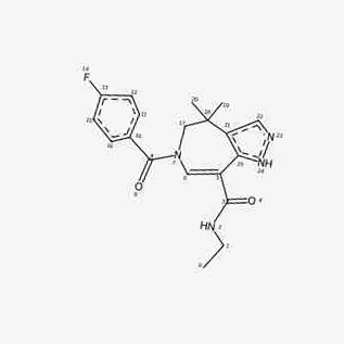 CCNC(=O)C1=CN(C(=O)c2ccc(F)cc2)CC(C)(C)c2cn[nH]c21